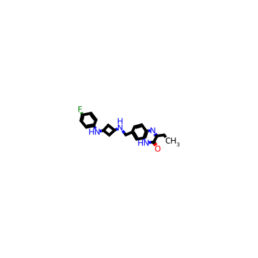 CCc1nc2ccc(CNC3CC(Nc4ccc(F)cc4)C3)cc2[nH]c1=O